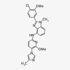 COc1cc(-c2nc3c(Nc4ccc(-n5cnc(C)c5)c(OC)n4)cccc3n2C)ccc1Cl